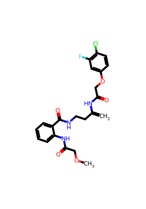 C=C(CCNC(=O)c1ccccc1NC(=O)COC)NC(=O)COc1ccc(Cl)c(F)c1